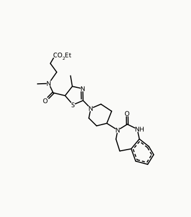 CCOC(=O)CCN(C)C(=O)C1SC(N2CCC(N3CCc4ccccc4NC3=O)CC2)=NC1C